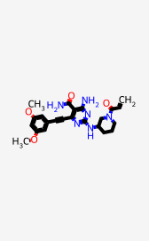 C=CC(=O)N1CCCC(Nc2nc(N)c(C(N)=O)c(C#Cc3cc(OC)cc(OC)c3)n2)C1